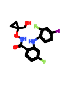 O=C(NOC1(CO)CC1)c1ccc(F)cc1Nc1ccc(I)cc1F